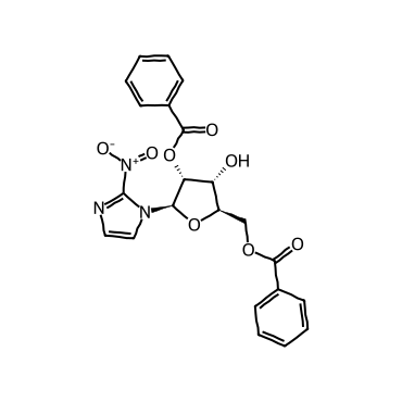 O=C(OC[C@H]1O[C@@H](n2ccnc2[N+](=O)[O-])[C@H](OC(=O)c2ccccc2)[C@@H]1O)c1ccccc1